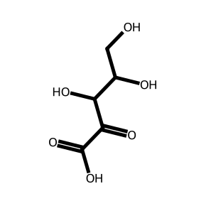 O=C(O)C(=O)C(O)C(O)CO